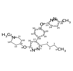 CCCCc1nnc(OC2CCN(C)CC2)cc1-c1ccc(Oc2ccc(C)nn2)cc1